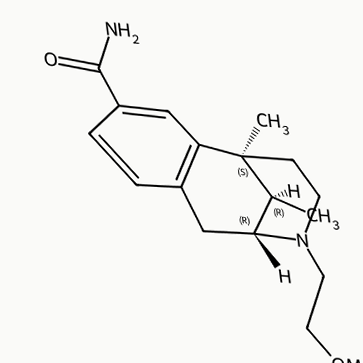 COCCN1CC[C@]2(C)c3cc(C(N)=O)ccc3C[C@@H]1[C@@H]2C